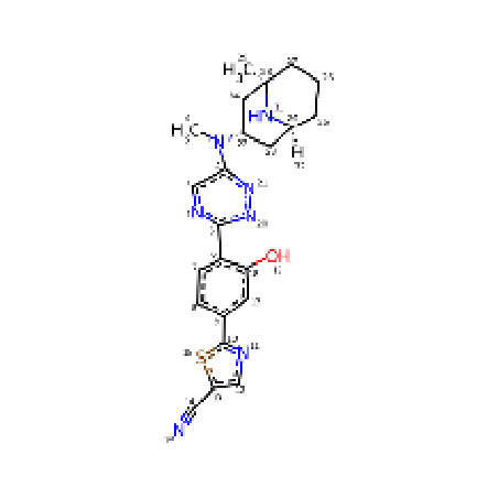 CN(c1cnc(-c2ccc(-c3ncc(C#N)s3)cc2O)nn1)[C@H]1C[C@@H]2CCC[C@](C)(C1)N2